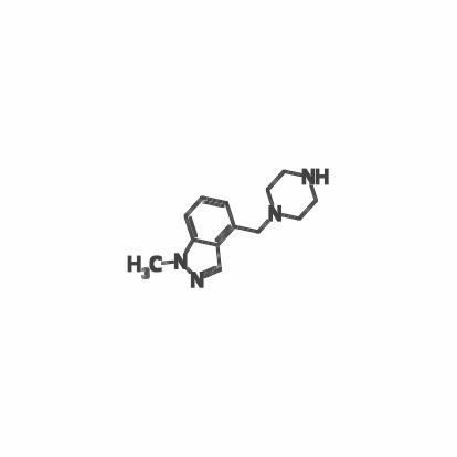 Cn1ncc2c(CN3CCNCC3)cccc21